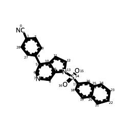 N#Cc1ccc(-c2cncc3c2ccn3S(=O)(=O)c2ccc3ccccc3c2)cc1